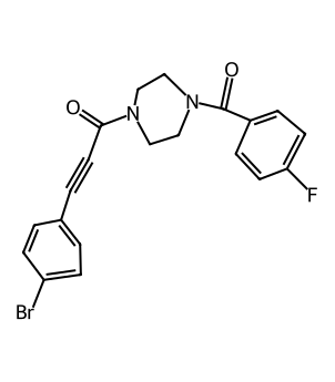 O=C(C#Cc1ccc(Br)cc1)N1CCN(C(=O)c2ccc(F)cc2)CC1